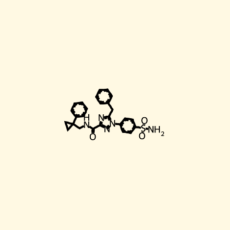 NS(=O)(=O)c1ccc(-n2nc(C(=O)NCC3(c4ccccc4)CC3)nc2Cc2ccccc2)cc1